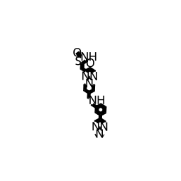 CN(C)c1ncc(-c2cccc(CNCC3CCN(c4nccc(C=C5SC(=O)NC5=O)n4)CC3)c2)cn1